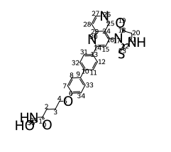 O=C(CCCOc1ccc(-c2ccc(-c3cc(N4C(=O)CNC4=S)c4cnccc4n3)cc2)cc1)NO